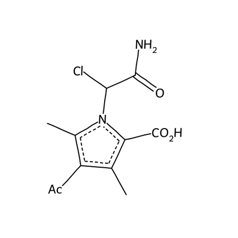 CC(=O)c1c(C)c(C(=O)O)n(C(Cl)C(N)=O)c1C